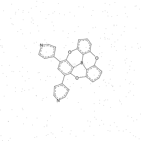 c1cc2c3c(c1)Oc1c(-c4ccncc4)cc(-c4ccncc4)c4c1B3c1c(cccc1O4)O2